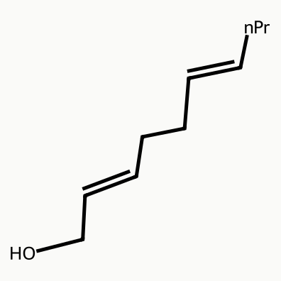 CCCC=CCCC=CCO